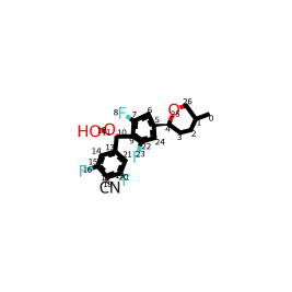 CC1CC[C@@H](c2cc(F)c(C(OO)c3cc(F)c(C#N)c(F)c3)c(F)c2)OC1